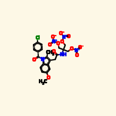 COc1ccc2c(c1)c(CC(=O)NC(CO[N+](=O)[O-])(CO[N+](=O)[O-])CO[N+](=O)[O-])c(C)n2C(=O)c1ccc(Cl)cc1